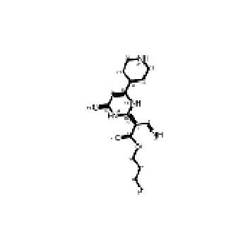 N=C/C(C(=O)OCCCF)=C1/NC(=O)C=C(C2CCNCC2)N1